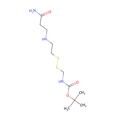 CC(C)(C)OC(=O)NCSSCCNCCC(N)=O